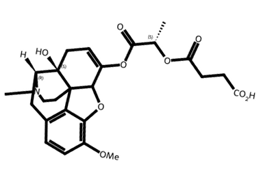 COc1ccc2c3c1OC1C(OC(=O)[C@H](C)OC(=O)CCC(=O)O)=CC[C@@]4(O)[C@@H](C2)N(C)CCC314